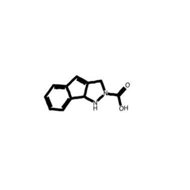 O=C(O)N1CC2=Cc3ccccc3C2N1